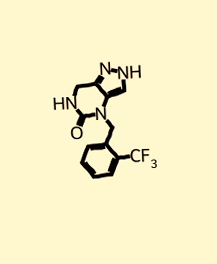 O=C1NCc2n[nH]cc2N1Cc1ccccc1C(F)(F)F